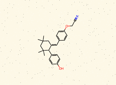 CC1(C)CC(=Cc2ccc(OCC#N)cc2)C(c2ccc(O)cc2)C(C)(C)C1